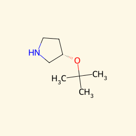 CC(C)(C)O[C@H]1CCNC1